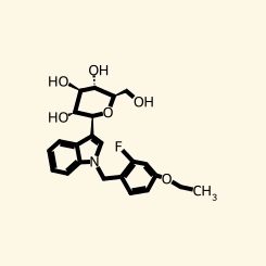 CCOc1ccc(Cn2cc([C@@H]3O[C@H](CO)[C@@H](O)[C@H](O)[C@H]3O)c3ccccc32)c(F)c1